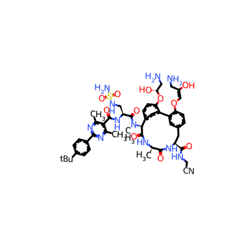 Cc1nc(-c2ccc(C(C)(C)C)cc2)nc(C)c1C(=O)N[C@@H](CNS(N)(=O)=O)C(=O)N(C)[C@@H]1C(=O)N[C@@H](C)C(=O)N[C@H](C(=O)NCC#N)Cc2ccc(O/C=C(/O)CN)c(c2)-c2cc1ccc2O[C@H](O)CN